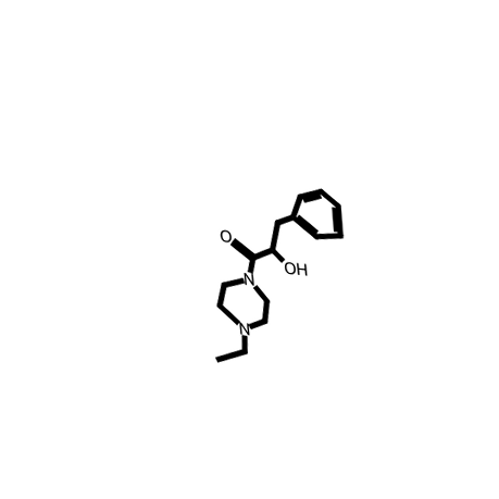 CCN1CCN(C(=O)C(O)Cc2ccccc2)CC1